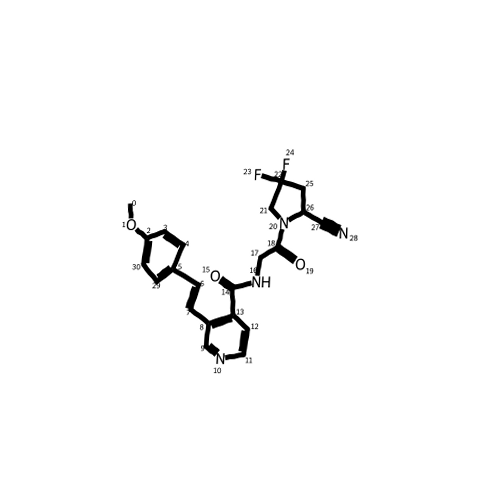 COc1ccc(/C=C/c2cnccc2C(=O)NCC(=O)N2CC(F)(F)CC2C#N)cc1